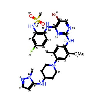 COc1cc(N2CCC(Nc3ccnn3C)CC2)c(C)cc1Nc1ncc(Br)c(Nc2ccc(F)cc2NS(C)(=O)=O)n1